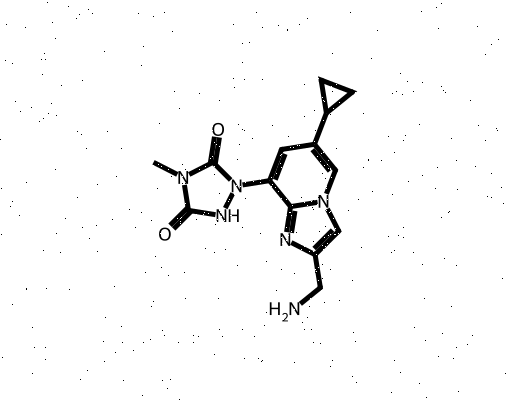 Cn1c(=O)[nH]n(-c2cc(C3CC3)cn3cc(CN)nc23)c1=O